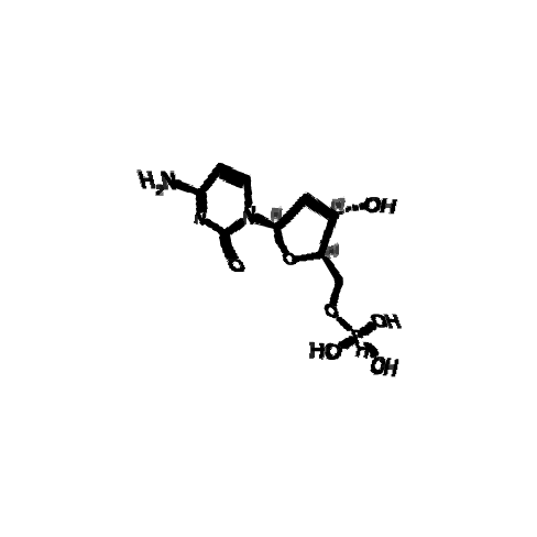 Nc1ccn([C@H]2C[C@H](O)[C@@H](CO[PH](O)(O)O)O2)c(=O)n1